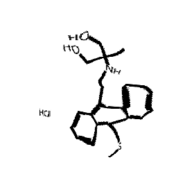 CSc1c2ccccc2c(CNC(C)(CO)CO)c2ccccc12.Cl